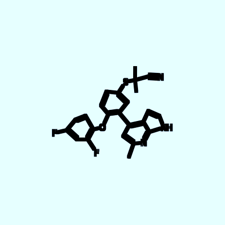 Cc1cc(-c2cc(SC(C)(C)C#N)ccc2Oc2ccc(F)cc2F)c2cc[nH]c2n1